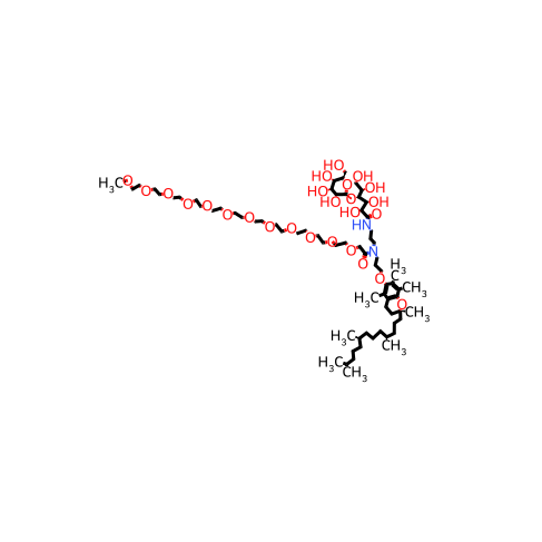 COCCOCCOCCOCCOCCOCCOCCOCCOCCOCCOCCOCC(=O)N(CCCNC(=O)[C@H](O)[C@@H](O)[C@H](O[C@@H]1O[C@H](CO)[C@H](O)[C@H](O)[C@H]1O)[C@H](O)CO)CCCOc1c(C)c(C)c2c(c1C)CC[C@@](C)(CCC[C@H](C)CCC[C@H](C)CCCC(C)C)O2